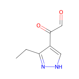 CCc1n[nH]cc1C(=O)C=O